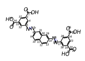 O=C(O)c1cc(/N=N/c2ccc3ccc(/N=N/c4cc(C(=O)O)cc(C(=O)O)c4)cc3c2)cc(C(=O)O)c1